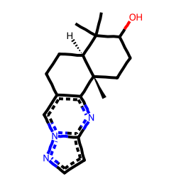 CC1(C)C(O)CC[C@]2(C)c3nc4ccnn4cc3CC[C@@H]12